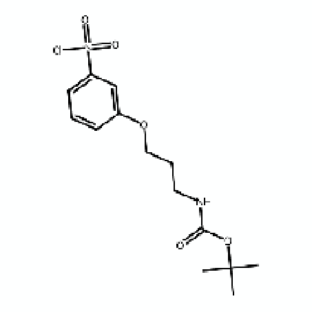 CC(C)(C)OC(=O)NCCCOc1cccc(S(=O)(=O)Cl)c1